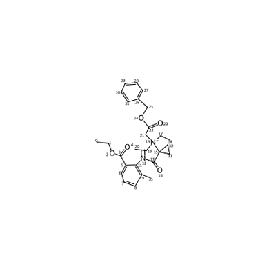 CCOC(=O)c1cccc(C)c1NC(=O)C1([N+](CC)(CC)CC(=O)OCc2ccccc2)CC1